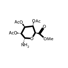 COC(=O)[C@H]1O[C@H](N)[C@H](OC(C)=O)[C@@H](OC(C)=O)[C@@H]1OC(C)=O